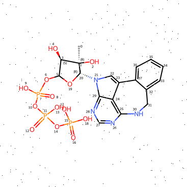 C[C@@]1(O)[C@H](O)C(OP(=O)(O)OP(=O)(O)OP(=O)(O)O)O[C@H]1n1cc2c3c(ncnc31)NCc1ccccc1-2